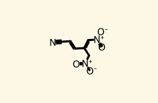 N#CC=CC(=C[N+](=O)[O-])C[N+](=O)[O-]